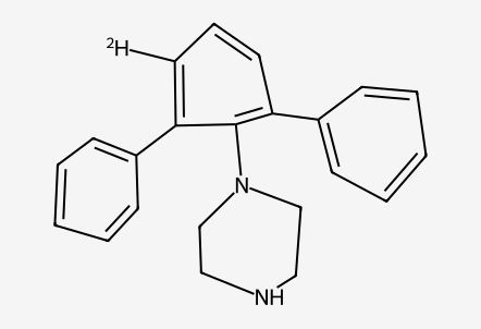 [2H]c1ccc(-c2ccccc2)c(N2CCNCC2)c1-c1ccccc1